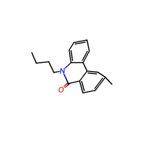 CCCCn1c(=O)c2ccc(C)cc2c2ccccc21